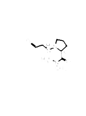 CN(C)C(=O)[C@@H]1CCCN1NCC=O